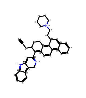 C#CCC1CCc2c3c(ccc2=C1C1=NCC2=c4c[c]ccc4=NC2=C1)=c1ccccc1=CC3CCN1CCCCC1